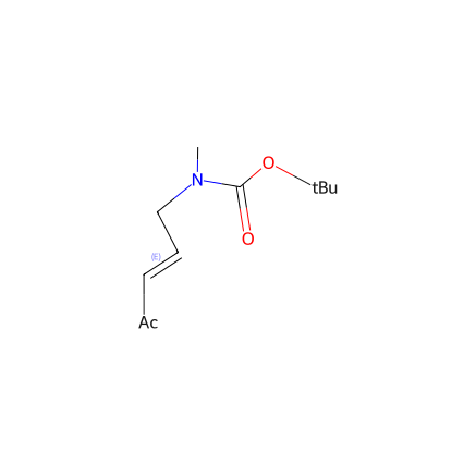 CC(=O)/C=C/CN(C)C(=O)OC(C)(C)C